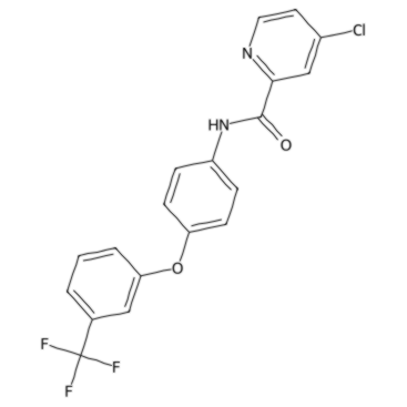 O=C(Nc1ccc(Oc2cccc(C(F)(F)F)c2)cc1)c1cc(Cl)ccn1